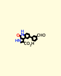 O=Cc1cccc(-c2ccc3[nH]c(=O)c4[nH]cc(C(=O)O)c4c3c2)c1